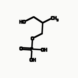 CC(CO)COP(=O)(O)O